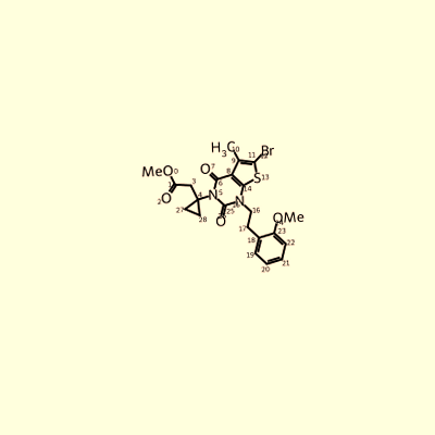 COC(=O)CC1(n2c(=O)c3c(C)c(Br)sc3n(CCc3ccccc3OC)c2=O)CC1